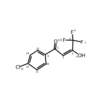 O=C(/C=C(/O)C(F)(F)F)c1ccc(Cl)cc1